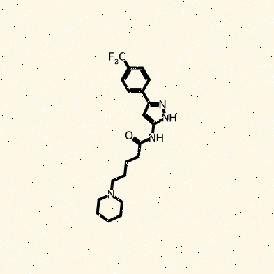 O=C(CCCCN1CCCCC1)Nc1cc(-c2ccc(C(F)(F)F)cc2)n[nH]1